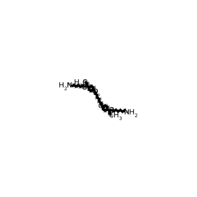 CCC(OCCCCCCN)c1ccc(OCCCCCCOc2ccc(C(CC)OCCCCCCN)cc2)cc1